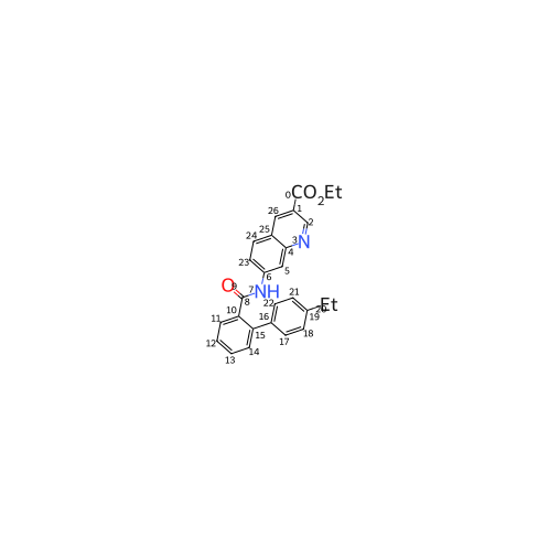 CCOC(=O)c1cnc2cc(NC(=O)c3ccccc3-c3ccc(CC)cc3)ccc2c1